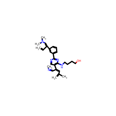 C=C/C(=C\N(C)C)c1cccc(-c2ncc(C(/C=N\C)=C/C(=C)C)c(NCCCCO)n2)c1